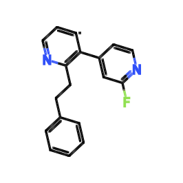 Fc1cc(-c2[c]ccnc2CCc2ccccc2)ccn1